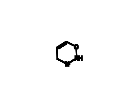 C1=CON[N]C1